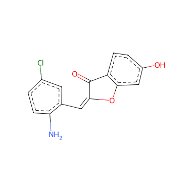 Nc1ccc(Cl)cc1C=C1Oc2cc(O)ccc2C1=O